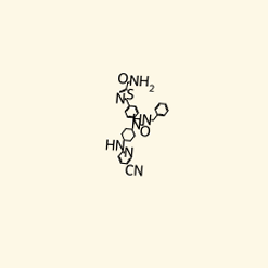 N#Cc1ccc(NC2CCC(N(C(=O)NCc3ccccc3)c3ccc(-c4ncc(C(N)=O)s4)cc3)CC2)nc1